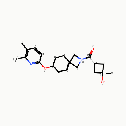 Cc1ccc(OC2CCC3(CC2)CN(C(=O)[C@H]2C[C@@](C)(O)C2)C3)nc1C(F)(F)F